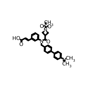 CN(C)c1ccc(-c2ccc(CN(C(=O)C3CN(S(C)(=O)=O)C3)c3cccc(C=CC(=O)O)c3)cc2)cc1